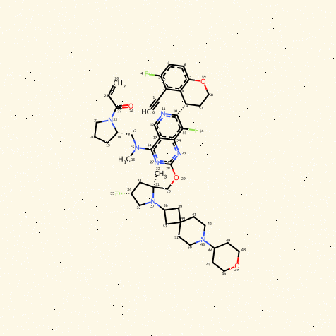 C#Cc1c(F)ccc2c1[C@@H](c1ncc3c(N(C)C[C@@H]4CCCN4C(=O)C=C)nc(OC[C@]4(C)C[C@@H](F)CN4C4CC5(CCN(C6CCOCC6)CC5)C4)nc3c1F)CCO2